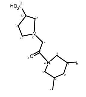 CC1CC(C)CN(C(=O)CN2CCC(C(=O)O)C2)C1